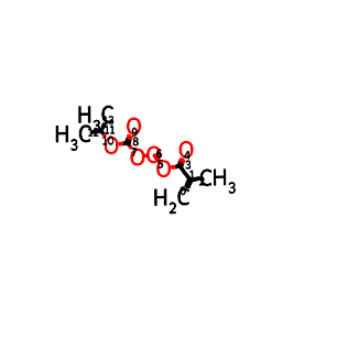 C=C(C)C(=O)OOOC(=O)OC(C)C